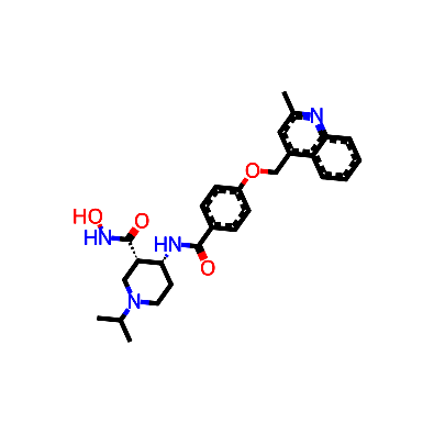 Cc1cc(COc2ccc(C(=O)N[C@@H]3CCN(C(C)C)C[C@@H]3C(=O)NO)cc2)c2ccccc2n1